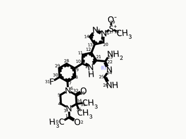 CC(=O)N1CCN(c2cc(-c3cc(-c4cnn([S+](C)[O-])c4)c(/C(N)=N\C=N)[nH]3)ccc2F)C(=O)C1(C)C